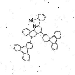 N#Cc1ccccc1-c1cc(-c2ccc3c4ccccc4c4ccccc4c3c2)c2cc(-c3ccc4c5ccccc5c5ccccc5c4c3)c3ccccc3c2n1